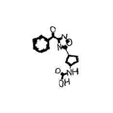 O=C(O)N[C@H]1CC[C@H](c2nc(C(=O)c3ccccc3)no2)C1